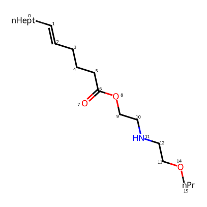 CCCCCCC/C=C/CCCC(=O)OCCNCCOCCC